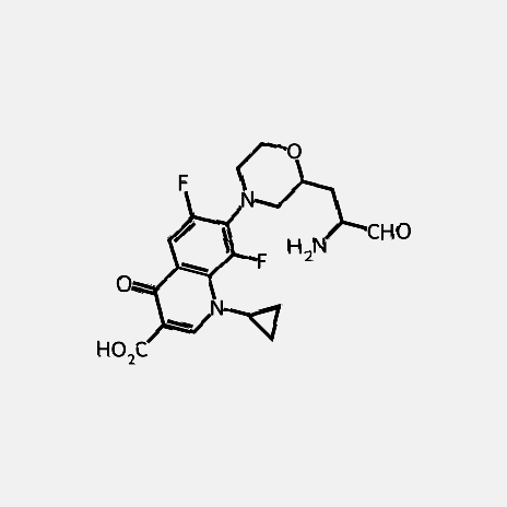 NC(C=O)CC1CN(c2c(F)cc3c(=O)c(C(=O)O)cn(C4CC4)c3c2F)CCO1